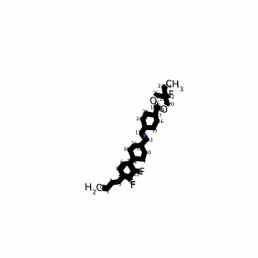 C=CCCc1ccc(C2CCC(/C=C/C3CCC(C4OCC(F)(CC)CO4)CC3)CC2)c(F)c1F